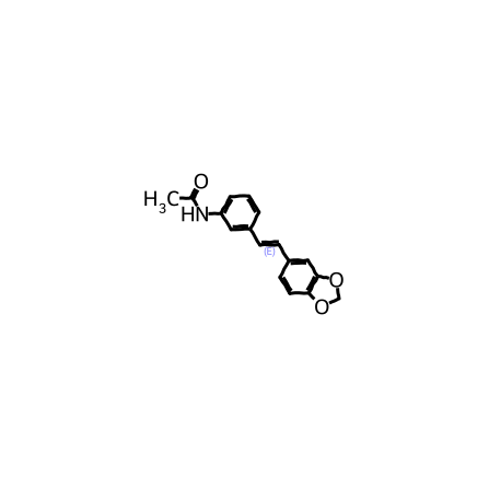 CC(=O)Nc1cccc(/C=C/c2ccc3c(c2)OCO3)c1